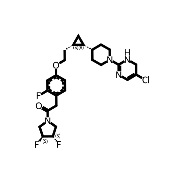 O=C(Cc1ccc(OCC[C@@H]2C[C@@H]2C2CCN(C3=NC=C(Cl)CN3)CC2)cc1F)N1C[C@H](F)[C@@H](F)C1